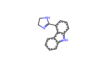 c1ccc2c(c1)[nH]c1cccc(C3=NCCN3)c12